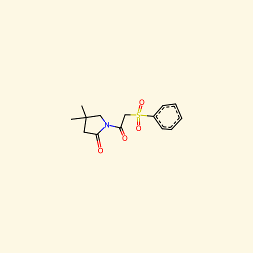 CC1(C)CC(=O)N(C(=O)CS(=O)(=O)c2ccccc2)C1